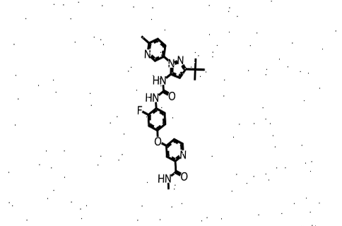 CNC(=O)c1cc(Oc2ccc(NC(=O)Nc3cc(C(C)(C)C)nn3-c3ccc(C)nc3)c(F)c2)ccn1